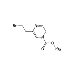 CC(C)(C)OC(=O)N1C=C(CCBr)N=CC1